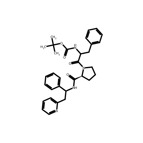 CC(C)(C)OC(=O)NC(Cc1ccccc1)C(=O)N1CCC[C@H]1C(=O)NC(Cc1ccccn1)c1ccccc1